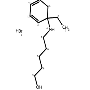 Br.CCC1(NCCCCCO)C=CC=CC1